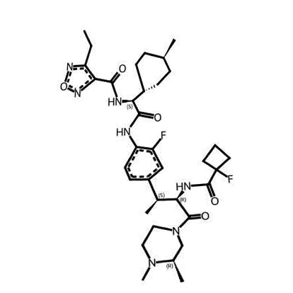 CCc1nonc1C(=O)N[C@H](C(=O)Nc1ccc([C@H](C)[C@@H](NC(=O)C2(F)CCC2)C(=O)N2CCN(C)[C@H](C)C2)cc1F)[C@H]1CC[C@H](C)CC1